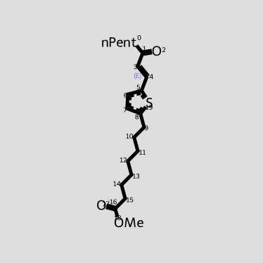 CCCCCC(=O)/C=C/c1ccc(CCCCCCCC(=O)OC)s1